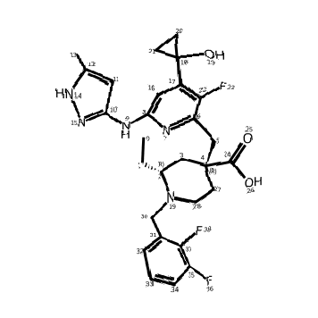 CC[C@@H]1C[C@](Cc2nc(Nc3cc(C)[nH]n3)cc(C3(O)CC3)c2F)(C(=O)O)CCN1Cc1cccc(F)c1F